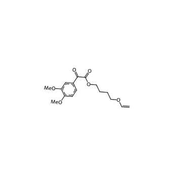 C=COCCCCOC(=O)C(=O)c1ccc(OC)c(OC)c1